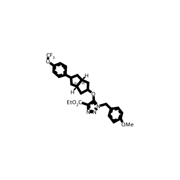 CCOC(=O)c1nnn(Cc2ccc(OC)cc2)c1OC1C[C@@H]2CC(c3ccc(OC(F)(F)F)cc3)C[C@@H]2C1